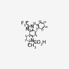 CC1CCc2c(ccc3c2nc(C(F)(F)F)n3Cc2ccccc2)N1C(=O)O